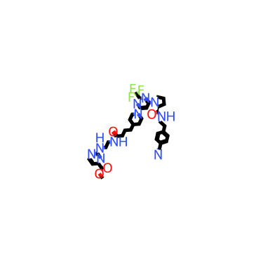 COC(=O)c1ccnc(NCCNC(=O)CCCC2CCN(c3cc(N4CCC[C@H]4C(=O)NCCc4ccc(C#N)cc4)nc(C(F)(F)F)n3)CC2)n1